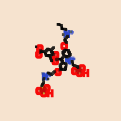 CCCC[N+](C)(C)CCCOc1ccc2c(c1)c(C(=O)Oc1c(C)cc(C(=O)OC)cc1C)c1cc(OCCC[N+](C)(C)CCCS(=O)(=O)O)ccc1[n+]2CCCS(=O)(=O)O